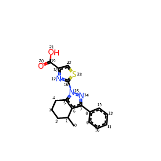 CC1CCCc2c1c(-c1ccccc1)nn2-c1nc(C(=O)O)cs1